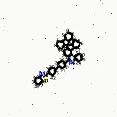 c1ccc2c(c1)-c1ccccc1C21c2ccccc2-c2c1ccc1c(-c3ccc(-c4ccc(-c5nc6ccccc6s5)cc4)cc3)nc3ccccc3c21